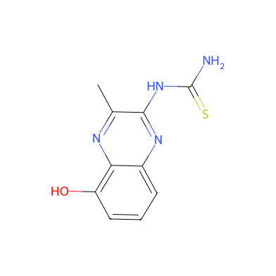 Cc1nc2c(O)cccc2nc1NC(N)=S